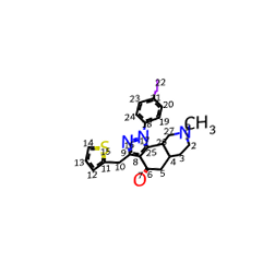 CN1CCC2CC(=O)c3c(Cc4cccs4)nn(-c4ccc(I)cc4)c3C2C1